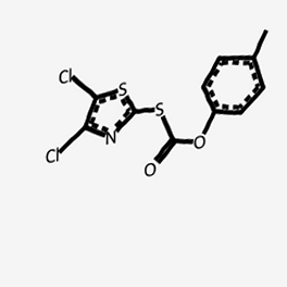 Cc1ccc(OC(=O)Sc2nc(Cl)c(Cl)s2)cc1